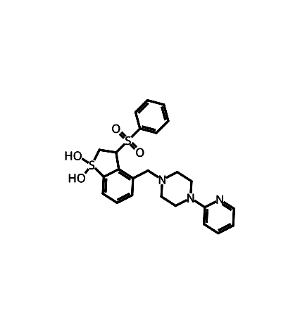 O=S(=O)(c1ccccc1)C1CS(O)(O)c2cccc(CN3CCN(c4ccccn4)CC3)c21